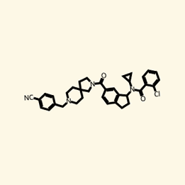 N#Cc1ccc(CN2CCC3(CC2)CCN(C(=O)c2ccc4c(c2)C(N(C(=O)c2ccccc2Cl)C2CC2)CC4)C3)cc1